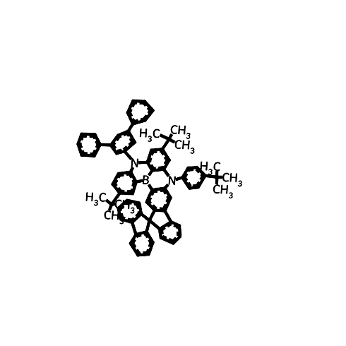 CC(C)(C)c1ccc(N2c3cc4c(cc3B3c5cc(C(C)(C)C)ccc5N(c5cc(-c6ccccc6)cc(-c6ccccc6)c5)c5cc(C(C)(C)C)cc2c53)C2(c3ccccc3-c3ccccc32)c2ccccc2-4)cc1